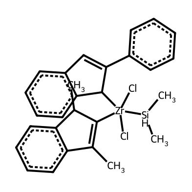 CC1=[C]([Zr]([Cl])([Cl])([CH]2C(c3ccccc3)=Cc3ccccc32)[SiH](C)C)C(C)c2ccccc21